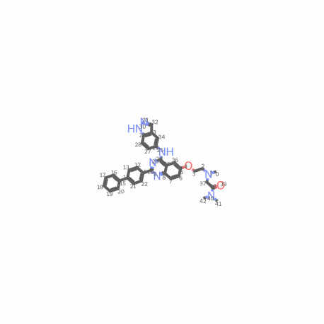 CN(CCOc1ccc2nc(-c3ccc(-c4ccccc4)cc3)nc(Nc3ccc4[nH]ncc4c3)c2c1)CC(=O)N(C)C